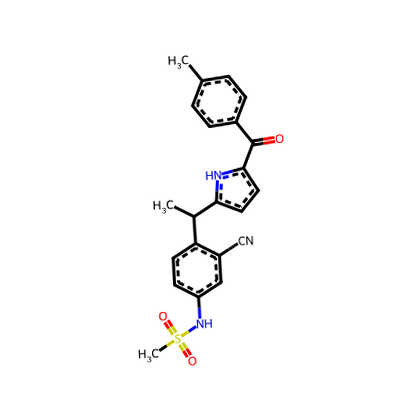 Cc1ccc(C(=O)c2ccc(C(C)c3ccc(NS(C)(=O)=O)cc3C#N)[nH]2)cc1